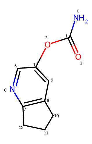 NC(=O)Oc1cnc2c(c1)CCC2